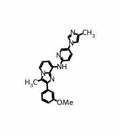 COc1cccc(-c2nc3c(Nc4ccc(-n5cnc(C)c5)cn4)cccn3c2C)c1